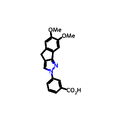 COc1cc2c(cc1OC)-c1nn(-c3cccc(C(=O)O)c3)cc1C2